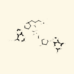 CC[C@]1(CCCP(=O)(O)S)O[C@@H](n2cnc3c(NC)ncnc32)C[C@@H]1COP(=O)(S)OC[C@H]1O[C@@H](n2nnc3c(=O)[nH]c(N)nc32)C[C@H]1F